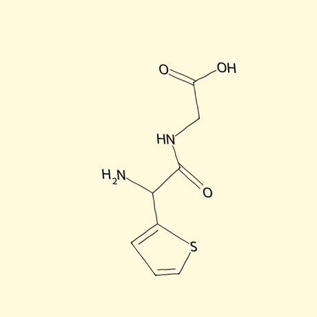 NC(C(=O)NCC(=O)O)c1cccs1